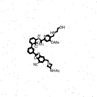 COc1cc(C(=O)NC2C=CC=C(c3cccc(-c4nc5cc(CN6CC(NC(C)=O)C6)cc(C#N)c5o4)c3)C2(C)Cl)ncc1CNCCO